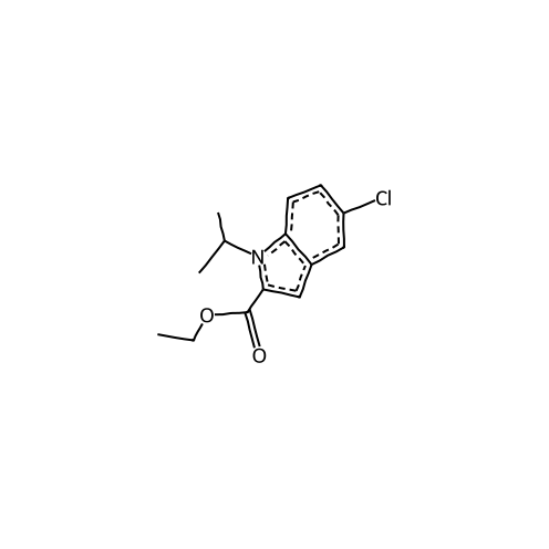 CCOC(=O)c1cc2cc(Cl)ccc2n1C(C)C